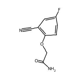 N#Cc1cc(F)ccc1OCC(N)=O